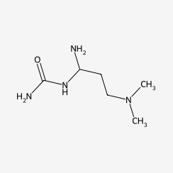 CN(C)CCC(N)NC(N)=O